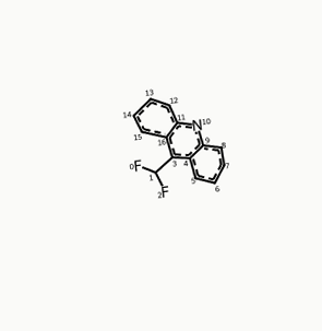 FC(F)c1c2ccccc2nc2ccccc12